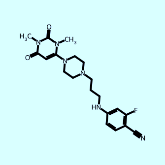 Cn1c(N2CCN(CCCNc3ccc(C#N)c(F)c3)CC2)cc(=O)n(C)c1=O